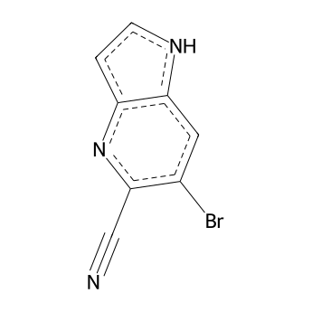 N#Cc1nc2cc[nH]c2cc1Br